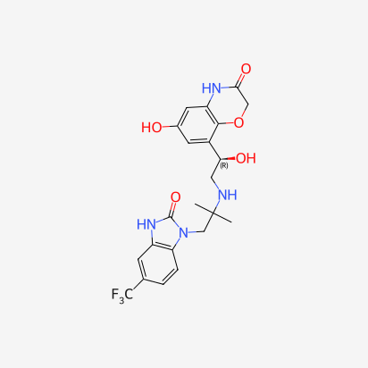 CC(C)(Cn1c(=O)[nH]c2cc(C(F)(F)F)ccc21)NC[C@H](O)c1cc(O)cc2c1OCC(=O)N2